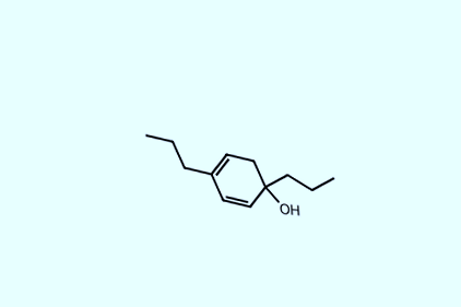 CCCC1=CCC(O)(CCC)C=C1